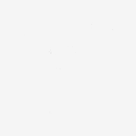 CC(=O)C1CCC(C(=O)OCC2CCC(C(=O)Oc3ccc(OC(=O)C4CCC(C(C)OC(=O)C5CCC(C(C)=O)CC5)CC4)c4nc(-c5cc6cc(C)cc(C)c6s5)sc34)CC2)CC1